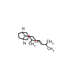 CC(C)CCCCN1C[C@H]2CC[C@@H](C1)N2CC(C)C